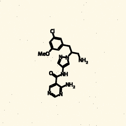 COc1cc(Cl)cc(CC(CN)n2cc(NC(=O)c3cncnc3N)cn2)c1